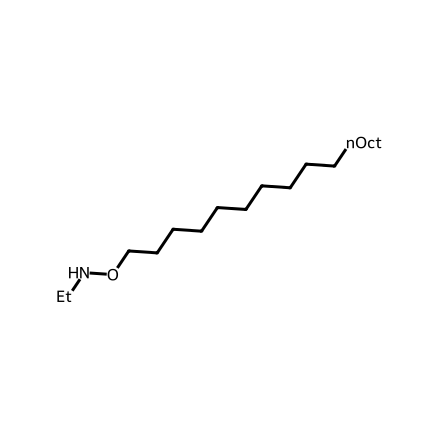 CCCCCCCCCCCCCCCCCCONCC